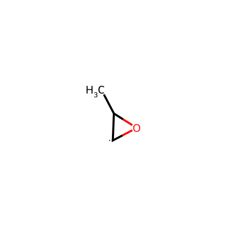 CC1[CH]O1